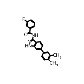 Cc1ccc(-c2ccc3c(NC(=O)c4cccc(F)c4)n[nH]c3c2)cc1C